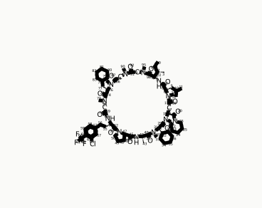 CC[C@H](C)[C@@H]1NC(=O)[C@H](CC(C)C)N(C)C(=O)C[C@@H](C(=O)N2CCCCC2)N(C)C(=O)[C@H](C2CCCCC2)N(C)C(=O)[C@H](C)NC(=O)[C@@H]2CCCN2C(=O)[C@H](CCc2ccc(C(F)(F)F)c(Cl)c2)NC(=O)CN(C)C(=O)[C@H](CC2CCCCC2)N(C)C(=O)CN(C)C(=O)CN(C)C1=O